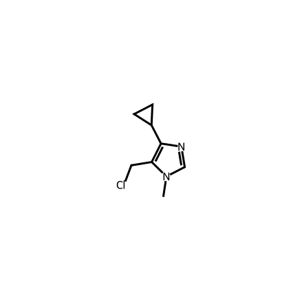 Cn1cnc(C2CC2)c1CCl